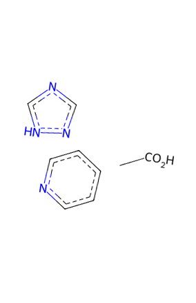 CC(=O)O.c1ccncc1.c1nc[nH]n1